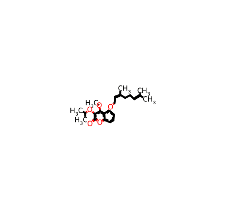 COc1c(OC(C)C)c(=O)oc2cccc(OCC=C(C)CCC=C(C)C)c12